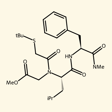 CNC(=O)[C@H](Cc1ccccc1)NC(=O)[C@H](CC(C)C)N(CC(=O)OC)C(=O)CSC(C)(C)C